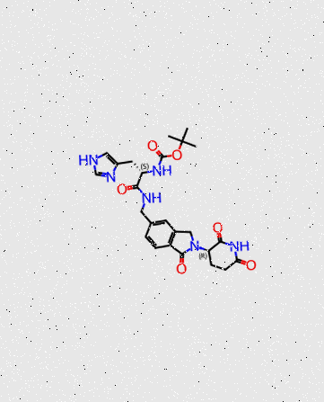 CC(C)(C)OC(=O)N[C@@H](Cc1c[nH]cn1)C(=O)NCc1ccc2c(c1)CN([C@@H]1CCC(=O)NC1=O)C2=O